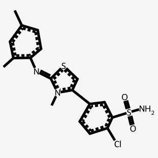 Cc1ccc(N=c2scc(-c3ccc(Cl)c(S(N)(=O)=O)c3)n2C)c(C)c1